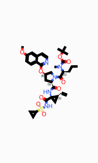 C=C[C@@H]1C[C@]1(NC(=O)[C@@H]1C[C@@H](Oc2nccc3cc(OC)ccc23)CN1C(=O)[C@H](CCC)N(C)C(=O)OC(C)(C)C)C(=O)NS(=O)(=O)C1CC1